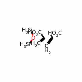 C=CC(=O)O.C=CC(=O)O.[SiH3]O[SiH3]